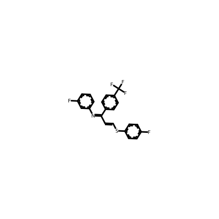 Fc1ccc(S/C=C/C(=N/c2cccc(F)c2)c2ccc(C(F)(F)F)cc2)cc1